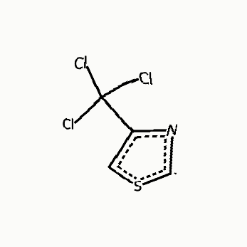 ClC(Cl)(Cl)c1cs[c]n1